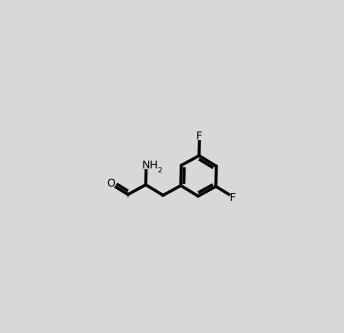 NC([C]=O)Cc1cc(F)cc(F)c1